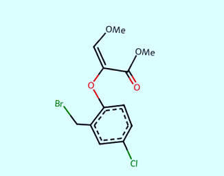 CO/C=C(/Oc1ccc(Cl)cc1CBr)C(=O)OC